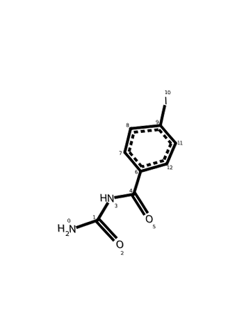 NC(=O)NC(=O)c1ccc(I)cc1